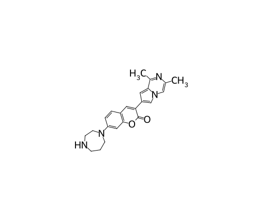 Cc1cn2cc(-c3cc4ccc(N5CCCNCC5)cc4oc3=O)cc2c(C)n1